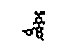 Cc1ccn2c(CC3CN(C)CCO3)c(-c3c(F)cc(C(=O)O)cc3F)nc2c1